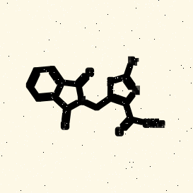 COC(=O)c1nc(Br)sc1CN1C(=O)c2ccccc2C1=O